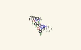 C[C@@H]1CN(c2cc(F)c(-c3cc(C(=O)NC(C)(C)CC(C)(C)C)c(F)cc3F)cc2NC(=O)c2ccc(F)cc2C(F)(F)F)CCN1C